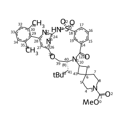 COC(=O)N1CCC2(CC1)CC(N1C(=O)c3cccc(c3)S(=O)(=O)Nc3nc(cc(-c4c(C)cccc4C)n3)OC[C@H]1CC(C)(C)C)C2